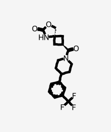 O=C1N[C@]2(CO1)C[C@H](C(=O)N1CCC(c3cccc(C(F)(F)F)c3)CC1)C2